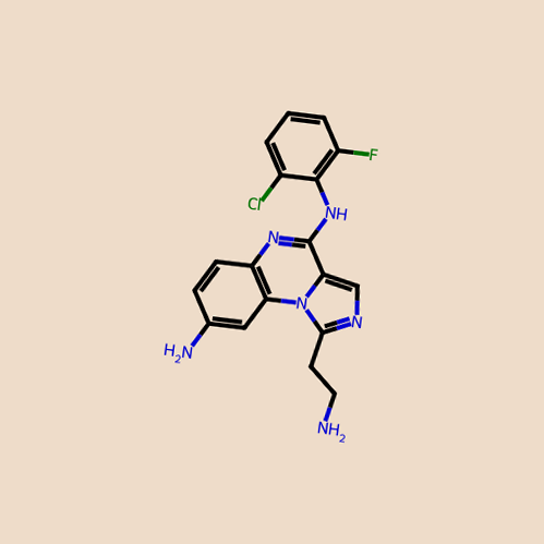 NCCc1ncc2c(Nc3c(F)cccc3Cl)nc3ccc(N)cc3n12